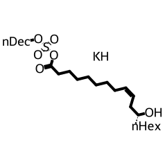 CCCCCCCCCCOS(=O)(=O)OC(=O)CCCCCCC/C=C\C[C@H](O)CCCCCC.[KH]